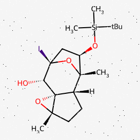 CC(C)(C)[Si](C)(C)O[C@@H]1C[C@]2(I)O[C@@]1(C)[C@@H]1CC[C@]3(C)O[C@]13[C@@H]2O